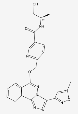 Cc1cc(-c2nnc3n2N=C(OCc2ccc(C(=O)N[C@H](C)CO)cn2)C2=CC=CCC23)no1